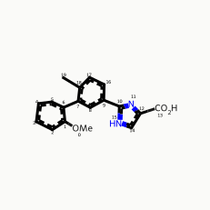 COc1ccccc1-c1cc(-c2nc(C(=O)O)c[nH]2)ccc1C